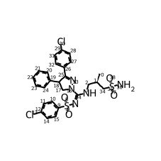 C[C@H](CNC(=NS(=O)(=O)c1ccc(Cl)cc1)N1CC(c2ccccc2)C(c2ccc(Cl)cc2)=N1)CS(N)(=O)=O